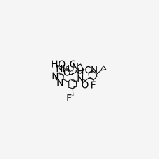 N#CC1CC(COc2c(N)ncnc2-c2cc(CF)cc(NC(=O)c3ccc(C4CC4)cc3F)c2)N(C(=O)O)C1